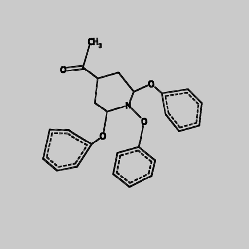 CC(=O)C1CC(Oc2ccccc2)N(Oc2ccccc2)C(Oc2ccccc2)C1